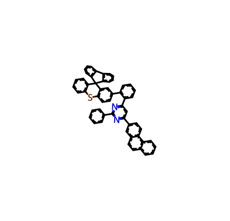 c1ccc(-c2nc(-c3ccc4c(ccc5ccccc54)c3)cc(-c3ccccc3-c3ccc4c(c3)C3(c5ccccc5S4)c4ccccc4-c4ccccc43)n2)cc1